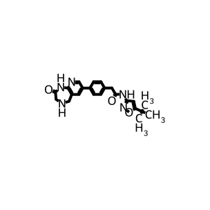 CC(C)(C)c1cc(NC(=O)Cc2ccc(-c3cnc4c(c3)CNCC(=O)N4)cc2)no1